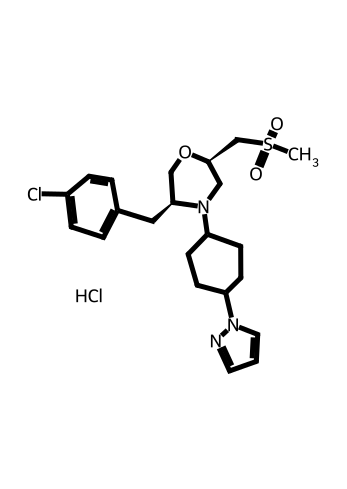 CS(=O)(=O)C[C@H]1CN(C2CCC(n3cccn3)CC2)[C@@H](Cc2ccc(Cl)cc2)CO1.Cl